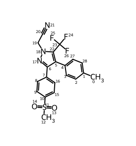 Cc1ccc(-c2c(-c3ccc(S(C)(=O)=O)cc3)nn(CC#N)c2C(F)(F)F)cc1